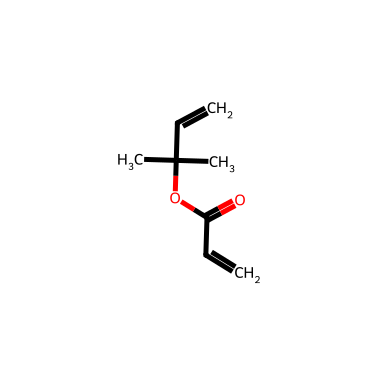 C=CC(=O)OC(C)(C)C=C